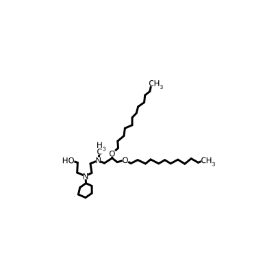 CCCCCCCCCCCCOCC(CN(C)CCN(CCO)C1CCCCC1)OCCCCCCCCCCCC